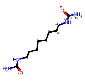 NC(=O)NCCCCCCCCNC(N)=O